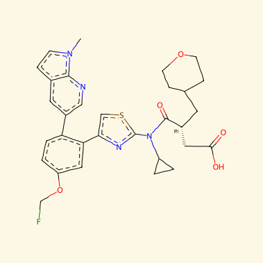 Cn1ccc2cc(-c3ccc(OCF)cc3-c3csc(N(C(=O)[C@@H](CC(=O)O)CC4CCOCC4)C4CC4)n3)cnc21